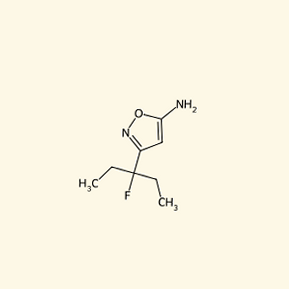 CCC(F)(CC)c1cc(N)on1